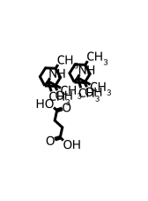 CC12CCC(C(O)C1)C(C)(C)N2.CC12CCC(C(O)C1)C(C)(C)N2.O=C(O)CCC(=O)O